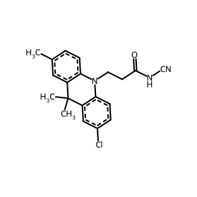 Cc1ccc2c(c1)C(C)(C)c1cc(Cl)ccc1N2CCC(=O)NC#N